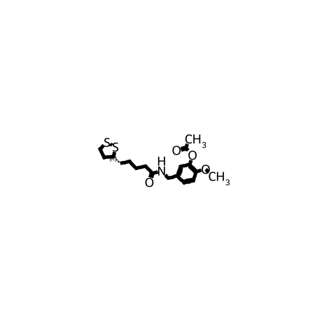 COc1ccc(CNC(=O)CCCC[C@@H]2CCSS2)cc1OC(C)=O